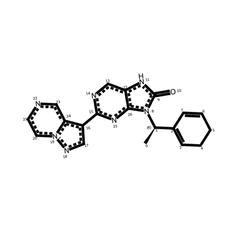 C[C@H](C1=CCCC=C1)n1c(=O)[nH]c2cnc(-c3cnn4ccncc34)nc21